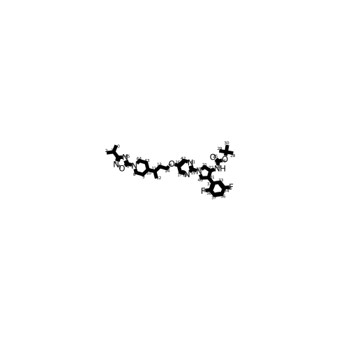 CC(C)c1noc(N2CCC(C(C)CCOc3cnc(N4CC(NC(=O)OC(C)(C)C)C(c5cc(F)ccc5F)C4)nc3)CC2)n1